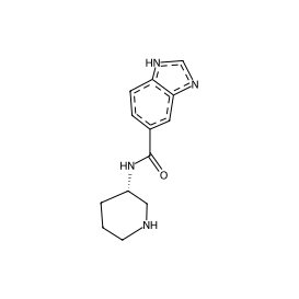 O=C(N[C@H]1CCCNC1)c1ccc2[nH]cnc2c1